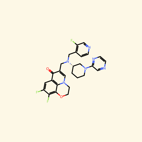 O=c1c(CN(Cc2ccncc2F)[C@H]2CCCN(c3cnccn3)C2)cn2c3c(c(F)c(F)cc13)OCC2